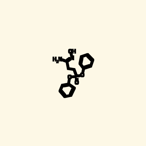 NC(CCP(=O)(Oc1ccccc1)Oc1ccccc1)=NO